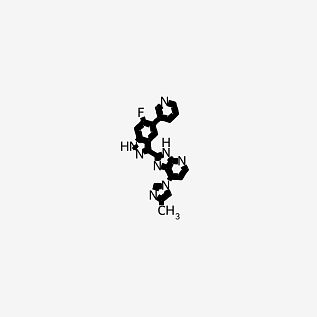 Cc1cn(-c2ccnc3[nH]c(-c4n[nH]c5cc(F)c(-c6cccnc6)cc45)nc23)cn1